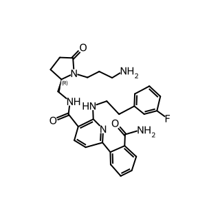 NCCCN1C(=O)CC[C@@H]1CNC(=O)c1ccc(-c2ccccc2C(N)=O)nc1NCCc1cccc(F)c1